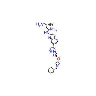 CC(C)C(=C/N)/C=C(\N)Nc1ccc2ncc(/C(C=N)=C/NCCOC3CN(Cc4ccccc4)C3)cc2n1